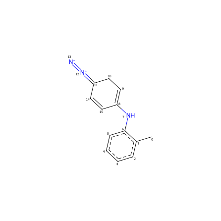 Cc1ccccc1NC1=CCC(=[N+]=[N-])C=C1